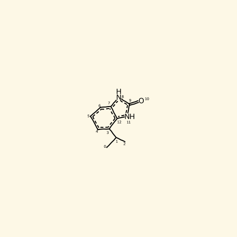 CC(C)c1cccc2[nH]c(=O)[nH]c12